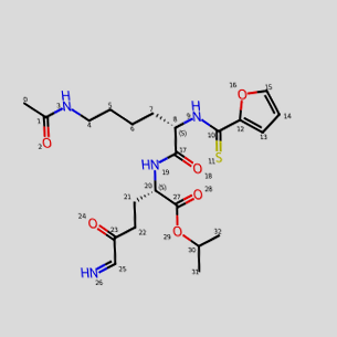 CC(=O)NCCCC[C@H](NC(=S)c1ccco1)C(=O)N[C@@H](CCC(=O)C=N)C(=O)OC(C)C